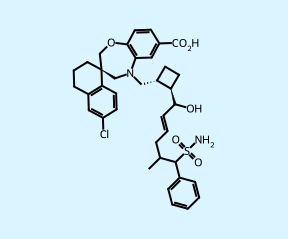 CC(C/C=C/C(O)[C@@H]1CC[C@H]1CN1C[C@@]2(CCCc3cc(Cl)ccc32)COc2ccc(C(=O)O)cc21)C(c1ccccc1)S(N)(=O)=O